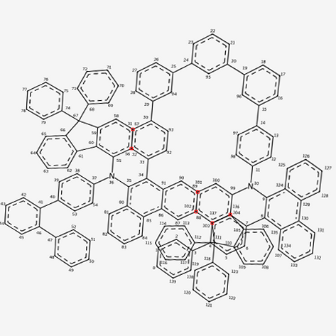 c1ccc(-c2ccc(-c3c(N(c4ccc(-c5cccc(-c6cccc(-c7cccc(-c8ccc(-c9c(N(c%10ccc(-c%11ccccc%11-c%11ccccc%11)cc%10)c%10cccc%11c%10-c%10ccccc%10C%11(c%10ccccc%10)c%10ccccc%10)c%10ccccc%10c%10ccccc9%10)cc8)c7)c6)c5)cc4)c4cccc5c4-c4ccccc4C5(c4ccccc4)c4ccccc4)c4ccccc4c4ccccc34)cc2)cc1